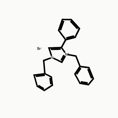 [Br-].c1ccc(Cn2cc(-c3ccccc3)[n+](Cc3ccccc3)c2)cc1